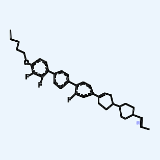 C/C=C/C1CCC(C2CC=C(c3ccc(-c4ccc(-c5ccc(OCCCCC)c(F)c5F)cc4)c(F)c3)CC2)CC1